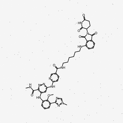 CNC(=O)c1nnc(Nc2ccc(C(=O)NCCCCCCNc3cccc4c3C(=O)N(C3CCC(=O)NC3=O)C4=O)cn2)cc1Nc1cccc(-c2ncn(C)n2)c1OC